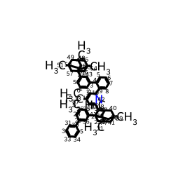 Cc1cc(-c2ccccc2-c2cc(C(F)(F)F)cc(C3C4(C)C[C@]5(C)CC3(c3cc(C)cc(-c6ccccc6)c3)C[C@@](C)(C4)C5)n2)cc(C23CC4(C)CC(C)(CC(C)(C4)C2)C3)c1